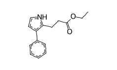 CCOC(=O)CCc1[nH]ccc1-c1ccccc1